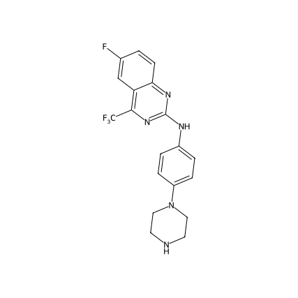 Fc1ccc2nc(Nc3ccc(N4CCNCC4)cc3)nc(C(F)(F)F)c2c1